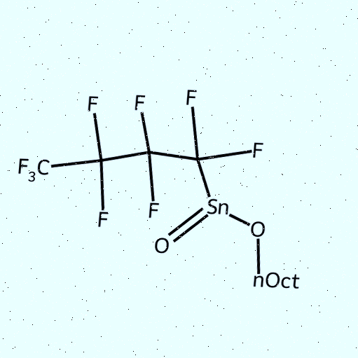 CCCCCCCC[O][Sn](=[O])[C](F)(F)C(F)(F)C(F)(F)C(F)(F)F